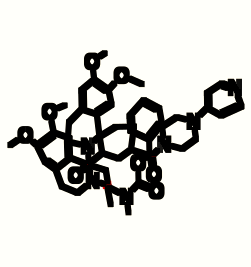 CCN1CCc2cc(OC)c(OC)cc2C1C1CC(C(=O)N2CCN(c3ccncc3)CC2)CCC12c1cc(OC)c(OC)cc1CCN2C(=O)CCN(C)C(=O)OCc1ccccc1